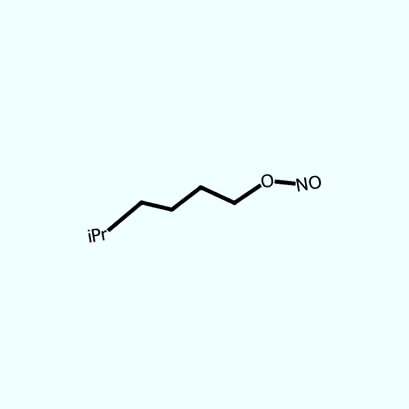 CC(C)CCCCON=O